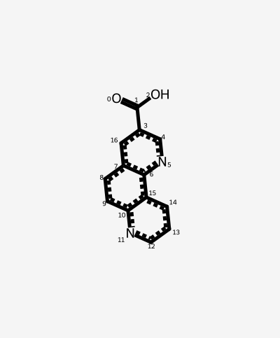 O=C(O)c1cnc2c(ccc3ncccc32)c1